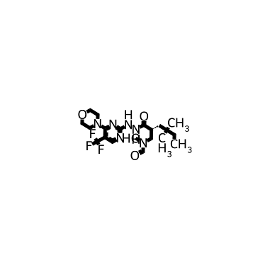 CCC(C)(C)C[C@H](CN(O)C=O)C(=O)NNc1ncc(C(F)(F)F)c(N2CCOCC2)n1